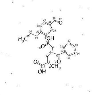 CC(CC(CC(=O)O)C(=O)c1ccccc1)C(=O)O.CCCc1ccc(C=O)cc1